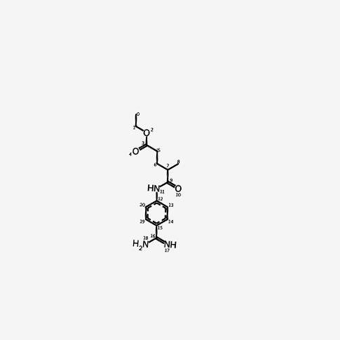 CCOC(=O)[CH]CC(C)C(=O)Nc1ccc(C(=N)N)cc1